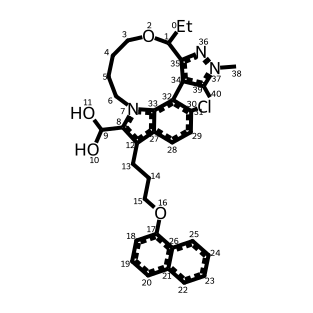 CCC1OCCCCn2c(C(O)O)c(CCCOc3cccc4ccccc34)c3ccc(Cl)c(c32)-c2c1nn(C)c2C